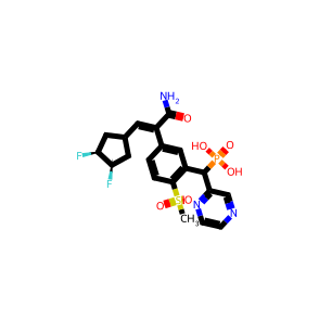 CS(=O)(=O)c1ccc(/C(=C\C2C[C@@H](F)[C@@H](F)C2)C(N)=O)cc1C(c1cnccn1)P(=O)(O)O